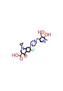 Cc1ncc(CN2CCN(c3cc4c(cc3F)c(=O)c(C(=O)O)cn4C3CC3)CC2)c(CO)c1O